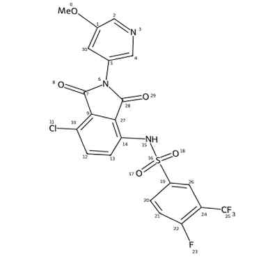 COc1cncc(N2C(=O)c3c(Cl)ccc(NS(=O)(=O)c4ccc(F)c(C(F)(F)F)c4)c3C2=O)c1